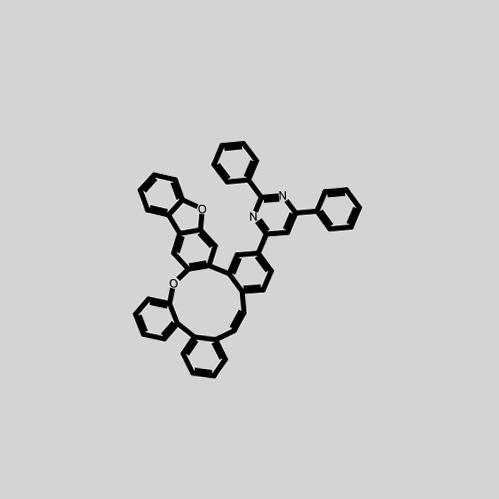 C1=C\c2ccc(-c3cc(-c4ccccc4)nc(-c4ccccc4)n3)cc2-c2cc3oc4ccccc4c3cc2Oc2ccccc2-c2ccccc2/1